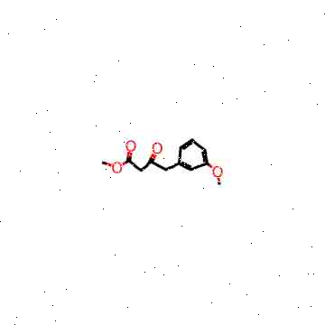 COC(=O)CC(=O)Cc1cccc(OC)c1